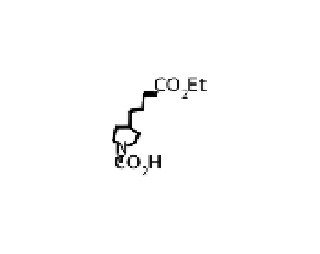 CCOC(=O)C=CC=CC1CCN(C(=O)O)CC1